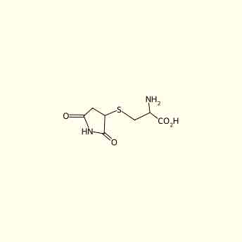 NC(CSC1CC(=O)NC1=O)C(=O)O